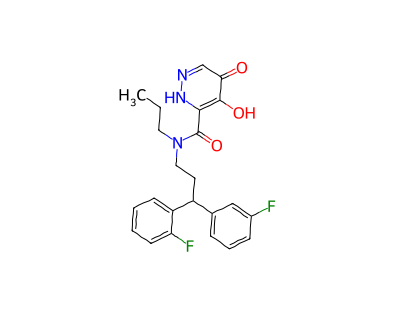 CCCN(CCC(c1cccc(F)c1)c1ccccc1F)C(=O)c1[nH]ncc(=O)c1O